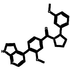 COc1cccc(C2CCCN2C(=O)c2ccc(-c3ccnc4[nH]ccc34)c(OC)c2)c1